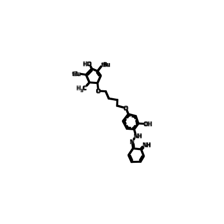 CC1C(C(C)(C)C)=C(O)C(C(C)(C)C)=CC1OCCCCOc1ccc(N/N=C2/C=CC=CC2=N)c(O)c1